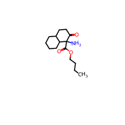 CCCCOC(=O)C1(N)C(=O)CCC2CCCCC21